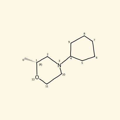 C[C@@H]1CN(C2CCCCC2)CCO1